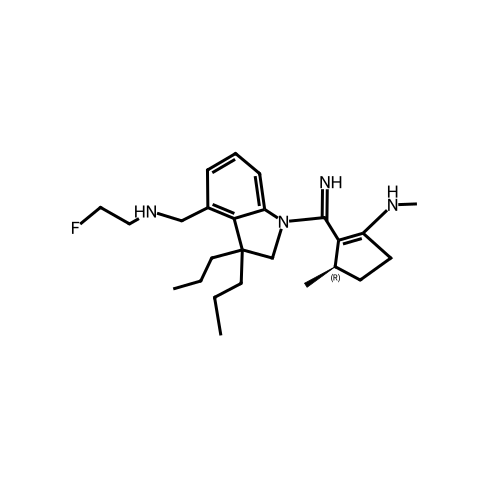 CCCC1(CCC)CN(C(=N)C2=C(NC)CC[C@H]2C)c2cccc(CNCCF)c21